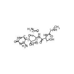 CNCC(=O)N[C@@H](CO)C(=O)N[C@H]1[C@H](O)[C@@H](O)[C@@H](c2c[nH]c(=O)nc2N)O[C@@H]1C(N)=O